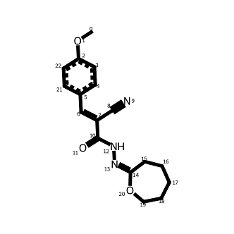 COc1ccc(/C=C(\C#N)C(=O)N/N=C2\CCCCCO2)cc1